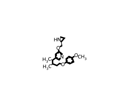 COc1ccc(OCC[C@@H](C)[C@H](C)c2cncc(OC[C@@H]3CCN3)c2)cc1